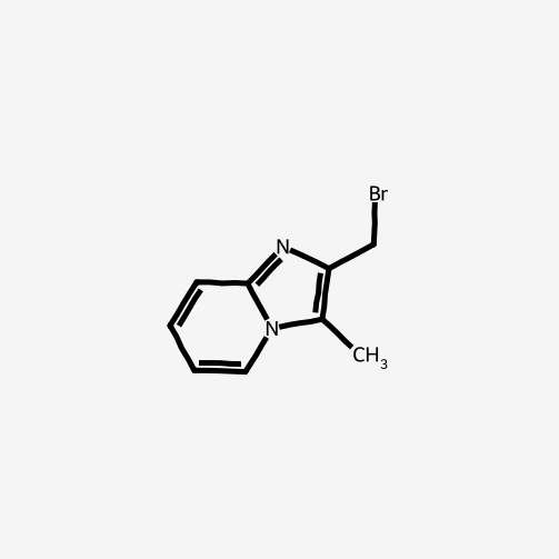 Cc1c(CBr)nc2ccccn12